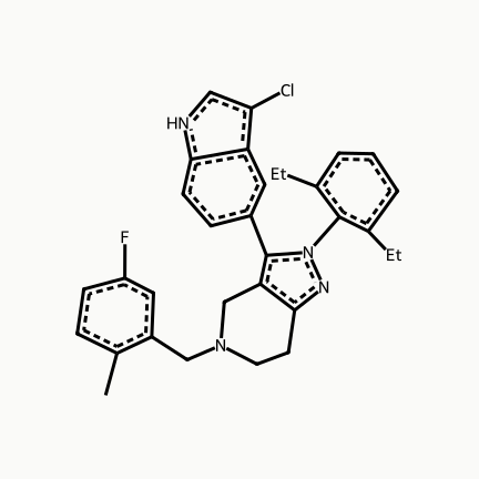 CCc1cccc(CC)c1-n1nc2c(c1-c1ccc3[nH]cc(Cl)c3c1)CN(Cc1cc(F)ccc1C)CC2